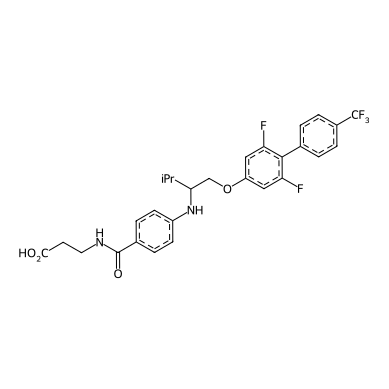 CC(C)C(COc1cc(F)c(-c2ccc(C(F)(F)F)cc2)c(F)c1)Nc1ccc(C(=O)NCCC(=O)O)cc1